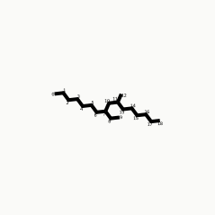 CCCCCCCC(CC)CC(C)CCCCCC